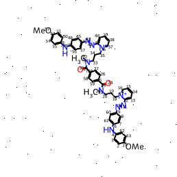 COc1ccc(Nc2ccc(N=Nc3cccc[n+]3CCCN(C)C(=O)c3ccc(C(=O)N(C)CCC[n+]4ccccc4/N=N/c4ccc(Nc5ccc(OC)cc5)cc4)cc3)cc2)cc1